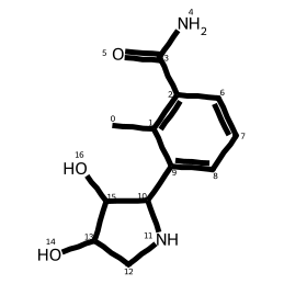 Cc1c(C(N)=O)cccc1C1NCC(O)C1O